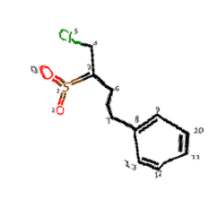 O=S(=O)=C(CCl)CCc1ccccc1